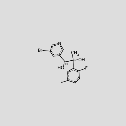 CC(O)(c1cc(F)ccc1F)[C@H](O)c1cncc(Br)c1